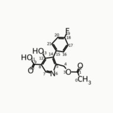 CC(=O)OCc1ncc(C(=O)O)c(O)c1-c1ccc(F)cc1